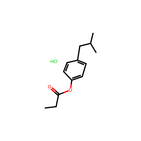 CCC(=O)Oc1ccc(CC(C)C)cc1.Cl